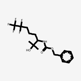 CC(C)(O)C(CCCC(F)(F)C(F)(F)F)NC(=O)OCc1ccccc1